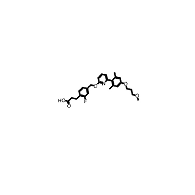 COCCCOc1cc(C)c(-c2cccc(OCc3ccc(CCC(=O)O)c(F)c3)n2)c(C)c1